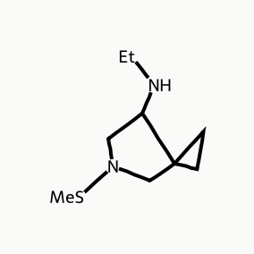 CCNC1CN(SC)CC12CC2